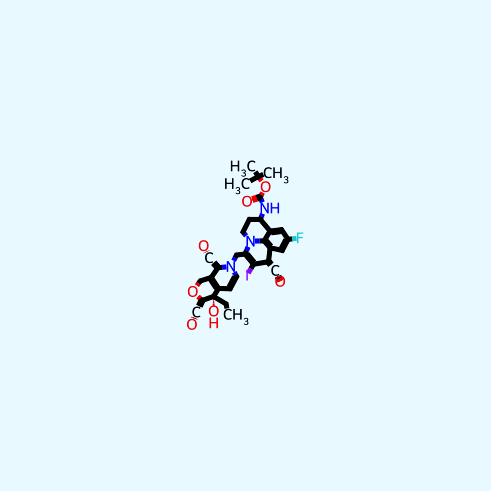 CC[C@@]1(O)C(=C=O)OCC2=C1C=CN(CC1=C(I)C(=C=O)c3cc(F)cc4c3N1CCC4NC(=O)OC(C)(C)C)C2=C=O